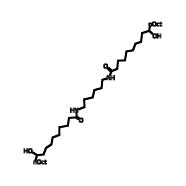 CCCCCCCCC(O)CCCCCCCCC(=O)NCCCCCCNC(=O)CCCCCCCCC(O)CCCCCCCC